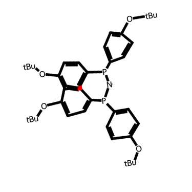 CC(C)(C)Oc1ccc(P([N]P(c2ccc(OC(C)(C)C)cc2)c2ccc(OC(C)(C)C)cc2)c2ccc(OC(C)(C)C)cc2)cc1